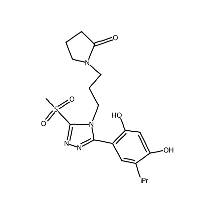 CC(C)c1cc(-c2nnc(S(C)(=O)=O)n2CCCN2CCCC2=O)c(O)cc1O